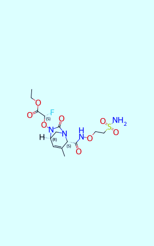 CCOC(=O)[C@H](F)ON1C(=O)N2C[C@H]1C=C(C)[C@H]2C(=O)NOCCS(N)(=O)=O